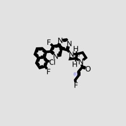 O=C(/C=C/CF)N1CC[C@@H]2[C@H]1CN2c1ncnc2c(F)c(-c3cccc4ccc(F)c(Cl)c34)ncc12